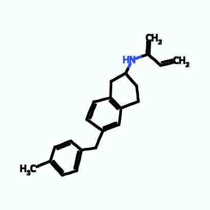 C=CC(=C)NC1CCc2cc(Cc3ccc(C)cc3)ccc2C1